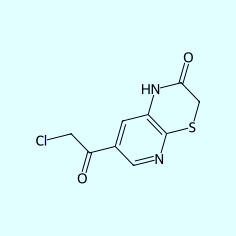 O=C1CSc2ncc(C(=O)CCl)cc2N1